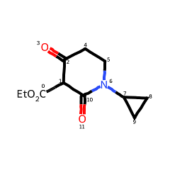 CCOC(=O)C1C(=O)CCN(C2CC2)C1=O